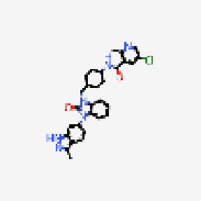 Cc1ncc(Cl)cc1C(=O)NC1CCC(Cn2c(=O)n(-c3ccc4c(C)n[nH]c4c3)c3ccccc32)CC1